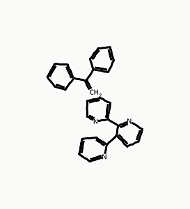 C=C(c1ccccc1)c1ccccc1.c1ccc(-c2cccnc2-c2ccccn2)nc1